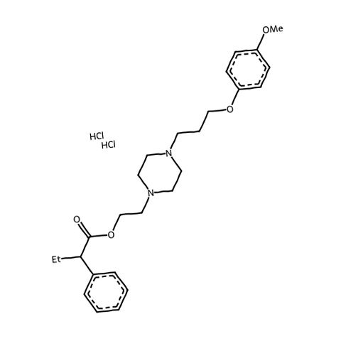 CCC(C(=O)OCCN1CCN(CCCOc2ccc(OC)cc2)CC1)c1ccccc1.Cl.Cl